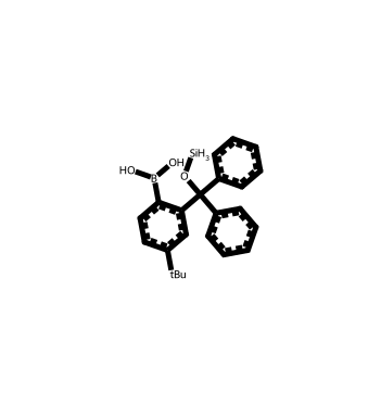 CC(C)(C)c1ccc(B(O)O)c(C(O[SiH3])(c2ccccc2)c2ccccc2)c1